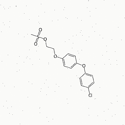 CS(=O)(=O)OCCOc1ccc(Oc2ccc(Cl)cc2)cc1